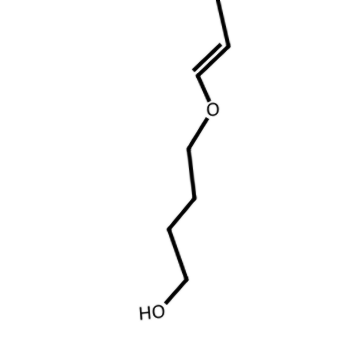 CCC=COCCCCO